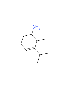 CC(C)C1=CCCC(N)C1C